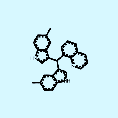 Cc1ccc2[nH]cc(C(c3c[nH]c4ccc(C)cc34)c3cccc4cccnc34)c2c1